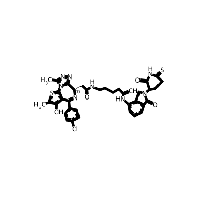 C=C(CCCCNC(=O)C[C@@H]1N=C(c2ccc(Cl)cc2)c2c(sc(C)c2C)-n2c(C)nnc21)Nc1cccc2c1CN(C1CCC(=S)NC1=O)C2=O